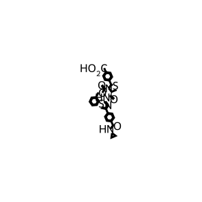 O=C(O)c1ccc(C2SC[C@@H](C(=O)Nc3nc(-c4ccc(C(=O)NC5CC5)cc4)cs3)N2C(=O)OCc2ccccc2)cc1